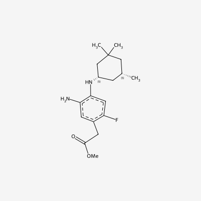 COC(=O)Cc1cc(N)c(N[C@H]2C[C@@H](C)CC(C)(C)C2)cc1F